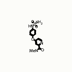 CNC(=O)c1cc(Oc2ccc(NS(N)(=O)=O)cc2)ccn1